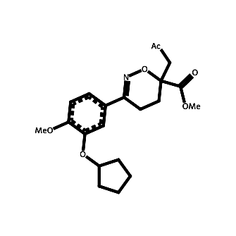 COC(=O)C1(CC(C)=O)CCC(c2ccc(OC)c(OC3CCCC3)c2)=NO1